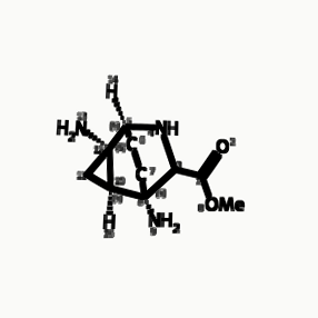 COC(=O)C1N[C@H]2CC[C@]1(N)[C@H]1C[C@@]21N